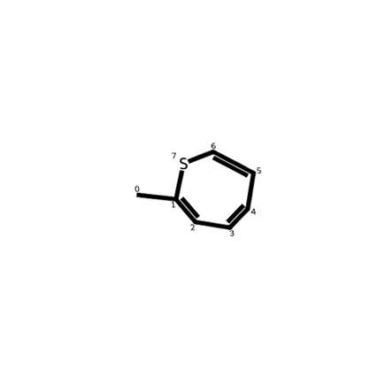 CC1=CC=CC=CS1